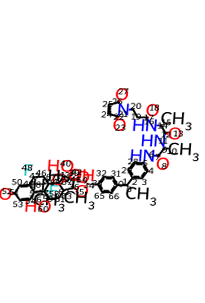 C[C@@H](c1ccc(NC(=O)[C@H](C)NC(=O)[C@H](C)NC(=O)CCN2C(=O)C=CC2=O)cc1)c1ccc([C@H]2O[C@]3(C(=O)CO)[C@@](O)(C[C@H]4[C@@H]5C[C@H](F)C6=CC(=O)C=C[C@]6(C)[C@@]5(F)[C@@H](O)C[C@@]43C)O2)cc1